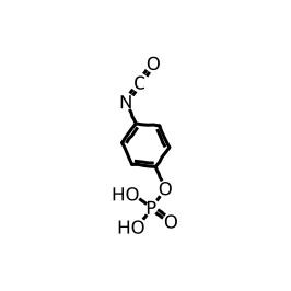 O=C=Nc1ccc(OP(=O)(O)O)cc1